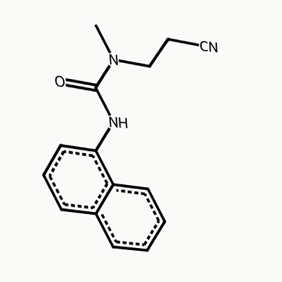 CN(CCC#N)C(=O)Nc1cccc2ccccc12